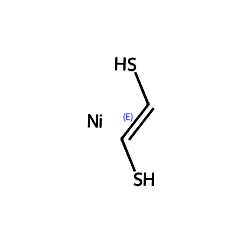 S/C=C/S.[Ni]